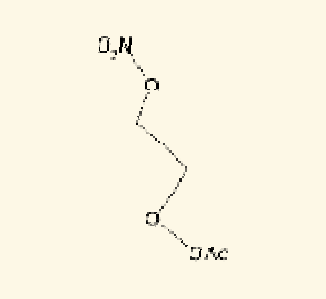 CC(=O)OOCCO[N+](=O)[O-]